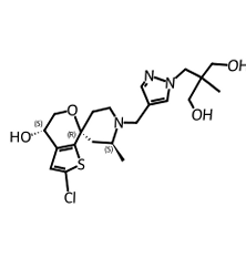 C[C@H]1C[C@@]2(CCN1Cc1cnn(CC(C)(CO)CO)c1)OC[C@@H](O)c1cc(Cl)sc12